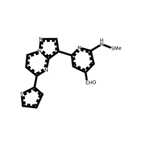 CSNc1cc(C=O)cc(-c2cnn3ccc(-c4cccs4)nc23)n1